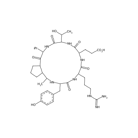 CC(C)C1NC(=O)C(C(C)O)NC(=O)C(CCC(=O)O)NC(=O)C(CCCNC(=N)N)NC(=O)C(Cc2ccc(O)cc2)NC(C)C2CCCC2C1=O